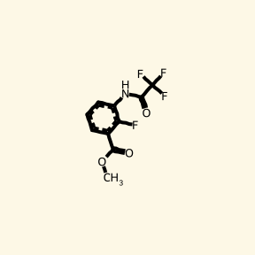 COC(=O)c1cccc(NC(=O)C(F)(F)F)c1F